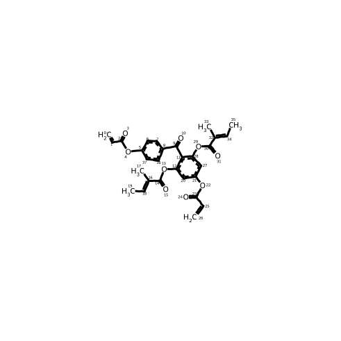 C=CC(=O)Oc1ccc(C(=O)c2c(OC(=O)/C(C)=C/C)cc(OC(=O)C=C)cc2OC(=O)/C(C)=C/C)cc1